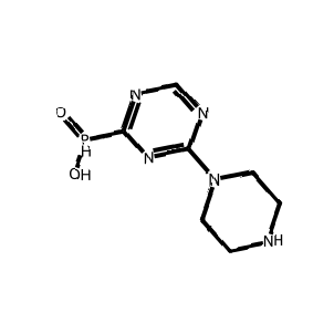 O=[PH](O)c1ncnc(N2CCNCC2)n1